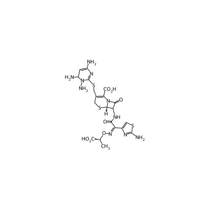 C[C@H](O/N=C(\C(=O)NC1C(=O)N2C(C(=O)O)=C(CSC3=NC(N)=CC(N)N3N)CS[C@@H]12)c1csc(N)n1)C(=O)O